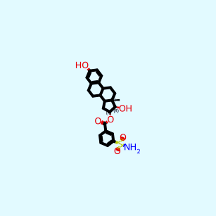 C[C@]12CCC3c4ccc(O)cc4CCC3C1C[C@@H](OC(=O)c1cccc(S(N)(=O)=O)c1)[C@@H]2O